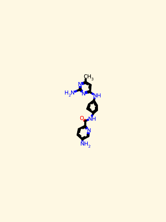 Cc1cc(Nc2ccc(NC(=O)c3ccc(N)cn3)cc2)nc(N)n1